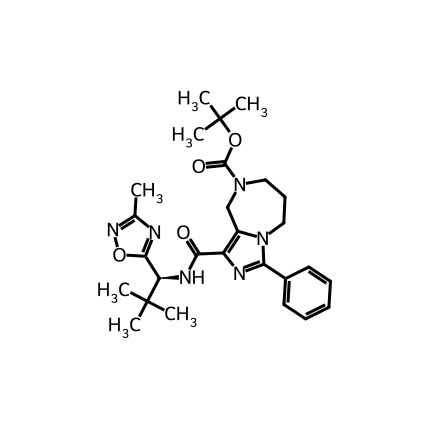 Cc1noc([C@@H](NC(=O)c2nc(-c3ccccc3)n3c2CN(C(=O)OC(C)(C)C)CCC3)C(C)(C)C)n1